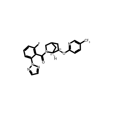 O=C(c1c(F)cccc1-n1nccn1)N1CC2C[C@@H](Oc3ccc(C(F)(F)F)cn3)[C@@H]1C2